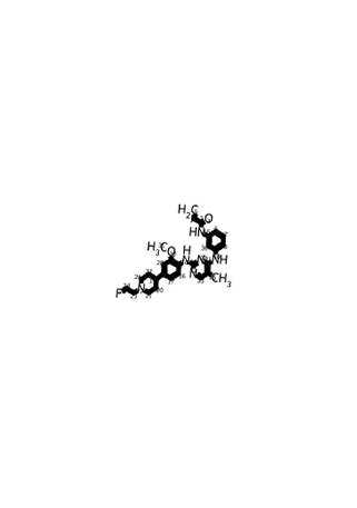 C=CC(=O)Nc1cccc(Nc2nc(Nc3ccc(C4CCN(CCF)CC4)cc3OC)ncc2C)c1